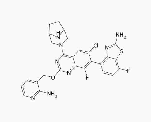 Nc1nc2c(-c3c(Cl)cc4c(N5CC6CCC(C5)N6)nc(OCc5cccnc5N)nc4c3F)ccc(F)c2s1